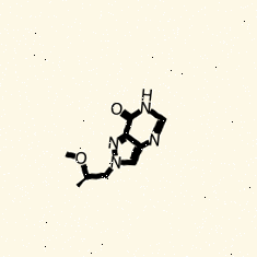 CO[C@H](C)Cn1cc2nc[nH]c(=O)c2n1